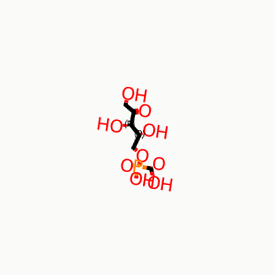 O=C(CO)[C@H](O)[C@H](O)COP(=O)(O)C(=O)O